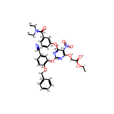 CCOC(=O)COc1nc(Oc2cc(C#N)ccc2OCc2ccccc2)nc(Oc2cccc(C(=O)N(CC)CC)c2)c1[N+](=O)[O-]